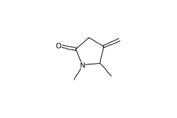 C=C1CC(=O)N(C)C1C